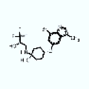 Cn1cnc2c(Br)cc(O[C@H]3CC[C@@](C)(NC[C@@H](O)C(F)(F)F)CC3)cc21